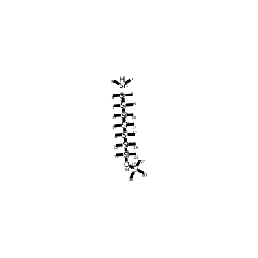 C[SiH](C)[Si](C)(C)[Si](C)(C)[Si](C)(C)[Si](C)(C)[Si](C)(C)[Si](C)(C)[Si](C)(C)O[Si](C)(C)C